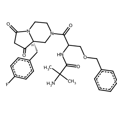 CC(C)(N)C(=O)NC(COCc1ccccc1)C(=O)N1CCN2C(=O)CC(=O)[C@]2(Cc2ccc(F)cc2)C1